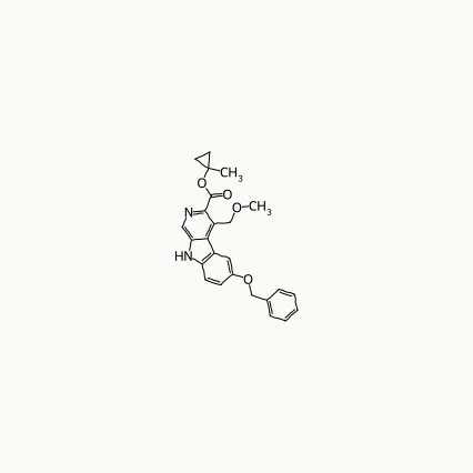 COCc1c(C(=O)OC2(C)CC2)ncc2[nH]c3ccc(OCc4ccccc4)cc3c12